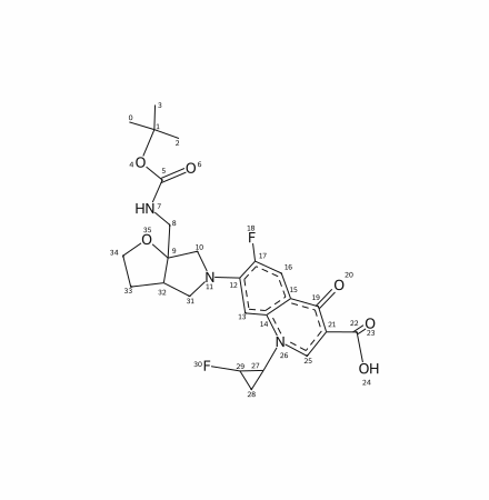 CC(C)(C)OC(=O)NCC12CN(c3cc4c(cc3F)c(=O)c(C(=O)O)cn4C3CC3F)CC1CCO2